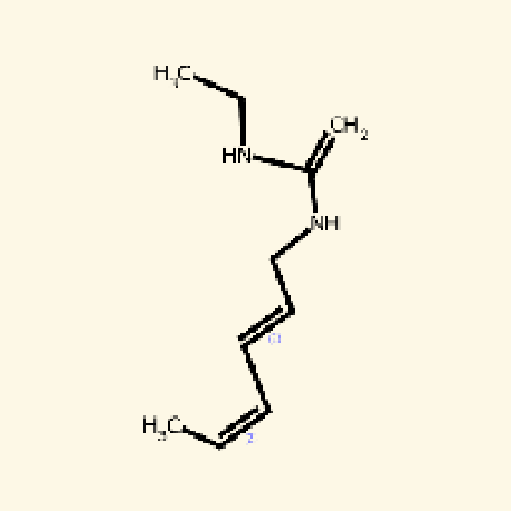 C=C(NCC)NC/C=C/C=C\C